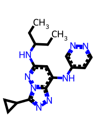 CCC(CC)Nc1cc(Nc2ccnnc2)c2nnc(C3CC3)n2n1